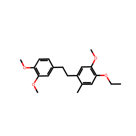 CCOc1cc(C)c(CCc2ccc(OC)c(OC)c2)cc1OC